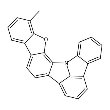 Cc1cccc2c1oc1c2ccc2c3cccc4c5ccccc5n(c43)c21